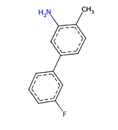 Cc1ccc(-c2cccc(F)c2)cc1N